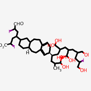 CC(CC(CC(CC(CC(CO)CC(I)CO)C(O)O)C(O)O)[C@H]1C=C2CC[C@H]3CCC(C(CC(I)C=O)CC(I)C(=O)O)CC3CCC2=CC1)C(O)O